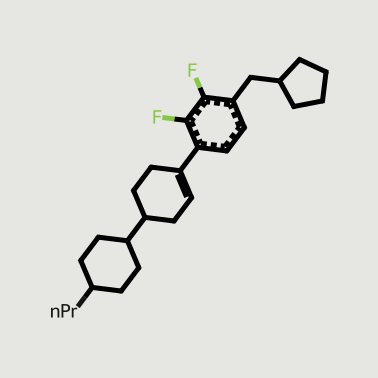 CCCC1CCC(C2CC=C(c3ccc(CC4CCCC4)c(F)c3F)CC2)CC1